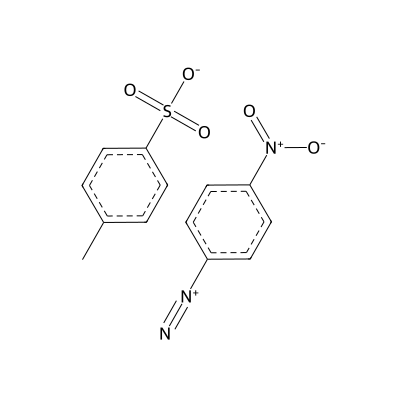 Cc1ccc(S(=O)(=O)[O-])cc1.N#[N+]c1ccc([N+](=O)[O-])cc1